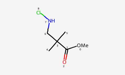 COC(=O)C(C)(C)CNCl